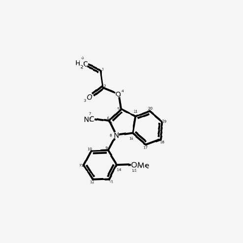 C=CC(=O)Oc1c(C#N)n(-c2ccccc2OC)c2ccccc12